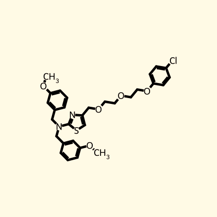 COc1cccc(CN(Cc2cccc(OC)c2)c2nc(COCCOCCOc3ccc(Cl)cc3)cs2)c1